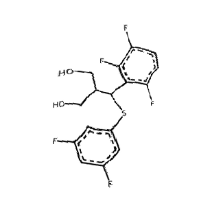 OCC(CO)C(Sc1cc(F)cc(F)c1)c1c(F)ccc(F)c1F